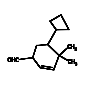 CC1(C)C=CC(C=O)CC1C1CCC1